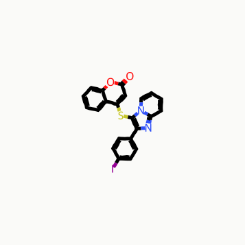 O=c1cc(Sc2c(-c3ccc(I)cc3)nc3ccccn23)c2ccccc2o1